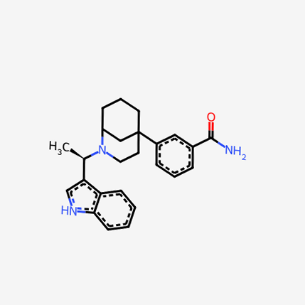 C[C@H](c1c[nH]c2ccccc12)N1CCC2(c3cccc(C(N)=O)c3)CCCC1C2